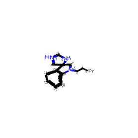 CC(C)CCN1CC2(CNCN2)c2ccccc21